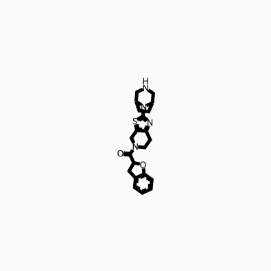 O=C(C1Cc2ccccc2O1)N1CCc2nc(N3C4CCC3CNC4)sc2C1